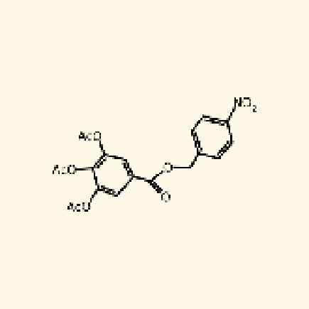 CC(=O)Oc1cc(C(=O)OCc2ccc([N+](=O)[O-])cc2)cc(OC(C)=O)c1OC(C)=O